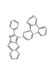 c1ccc(-c2nn3cc4ccccc4cc3c2-c2ccc3c4ccccc4c4ccccc4c3c2)cc1